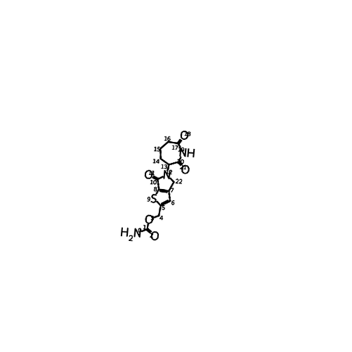 NC(=O)OCc1cc2c(s1)C(=O)N(C1CCCC(=O)NC1=O)C2